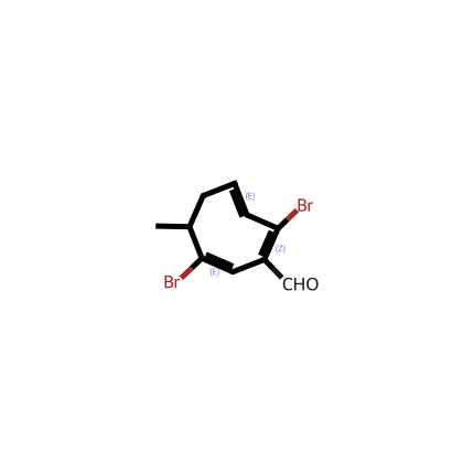 CC1C/C=C/C(Br)=C(C=O)\C=C/1Br